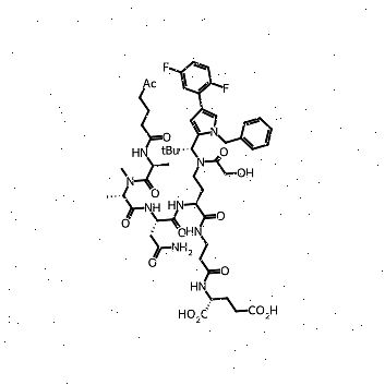 CC(=O)CCCC(=O)N[C@@H](C)C(=O)N(C)[C@@H](C)C(=O)N[C@@H](CC(N)=O)C(=O)N[C@@H](CCN(C(=O)CO)[C@@H](c1cc(-c2cc(F)ccc2F)cn1Cc1ccccc1)C(C)(C)C)C(=O)NCCC(=O)N[C@H](CCC(=O)O)C(=O)O